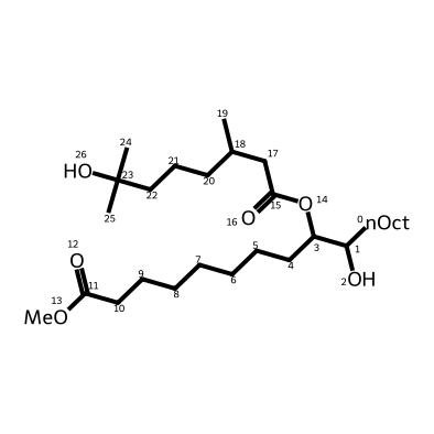 CCCCCCCCC(O)C(CCCCCCCC(=O)OC)OC(=O)CC(C)CCCC(C)(C)O